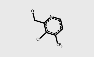 [O]Cc1nccc(C(F)(F)F)c1Cl